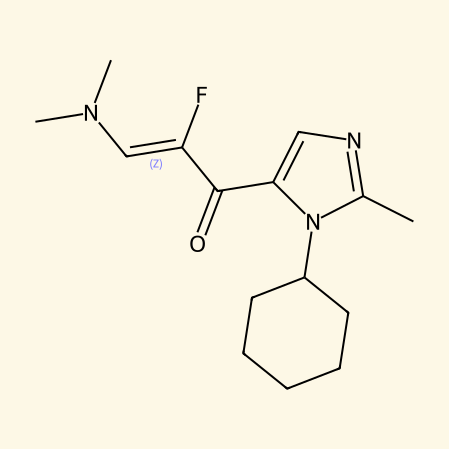 Cc1ncc(C(=O)/C(F)=C/N(C)C)n1C1CCCCC1